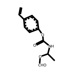 C=Cc1ccc(OC(=O)NC(C)OC=O)cc1